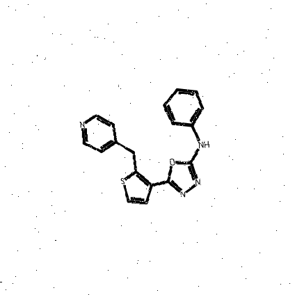 c1ccc(Nc2nnc(-c3ccsc3Cc3ccncc3)o2)cc1